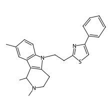 Cc1ccc2c(c1)c1c(n2CCc2nc(-c3ccccc3)cs2)CCN(C)C1C